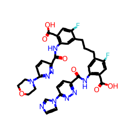 O=C(Nc1cc(CCCc2cc(NC(=O)c3ccc(-n4ccnc4)nn3)c(C(=O)O)cc2F)c(F)cc1C(=O)O)c1ccc(N2CCOCC2)nn1